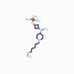 COCCCCCN1CCC(N(C)C2CC(OC(C)(C)C)C2)CC1